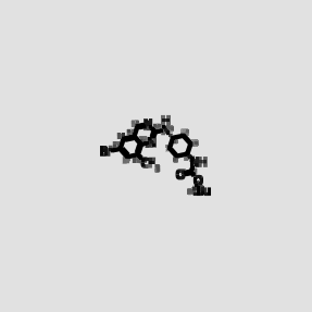 CC(C)(C)OC(=O)N[C@H]1CC[C@H](Nc2ncc3cc(Br)cc(C(F)(F)F)c3n2)CC1